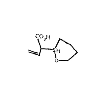 C=CC(C(=O)O)[SiH]1CCCCO1